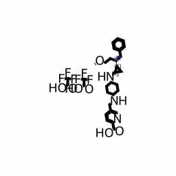 COCC/C(=C\c1ccccc1)[C@@H]1C[C@H]1N[C@H]1CC[C@H](NCc2ccc(C(=O)O)nc2)CC1.O=C(O)C(F)(F)F.O=C(O)C(F)(F)F